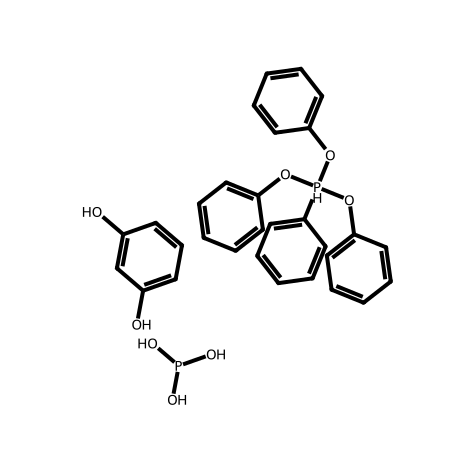 OP(O)O.Oc1cccc(O)c1.c1ccc(O[PH](Oc2ccccc2)(Oc2ccccc2)c2ccccc2)cc1